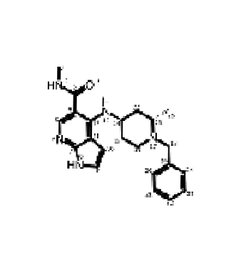 CNC(=O)c1cnc2[nH]ccc2c1N[C@@H]1CCN(Cc2ccccc2)[C@@H](C)C1